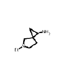 CCN1CCC2(C[C@H]2N)C1